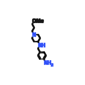 COCCCN1CCC(NCc2ccc(N)cc2)CC1